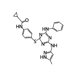 Cc1cc(Nc2nc(Nc3ccccc3)nc(Sc3ccc(NC(=O)C4CC4)cc3)n2)n[nH]1